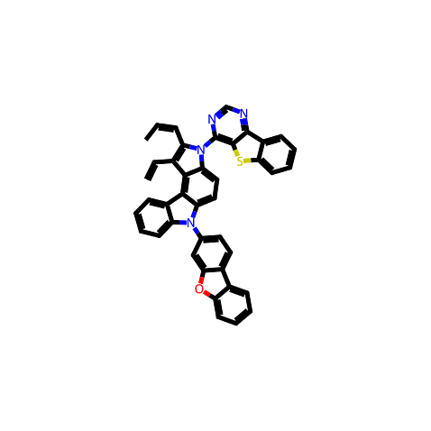 C=Cc1c(/C=C\C)n(-c2ncnc3c2sc2ccccc23)c2ccc3c(c4ccccc4n3-c3ccc4c(c3)oc3ccccc34)c12